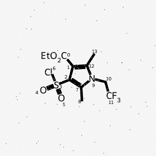 CCOC(=O)c1c(S(=O)(=O)Cl)c(C)n(CC(F)(F)F)c1C